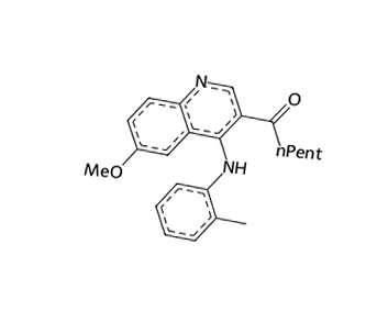 CCCCCC(=O)c1cnc2ccc(OC)cc2c1Nc1ccccc1C